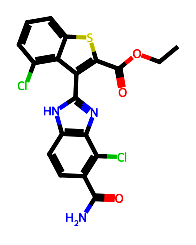 CCOC(=O)c1sc2cccc(Cl)c2c1-c1nc2c(Cl)c(C(N)=O)ccc2[nH]1